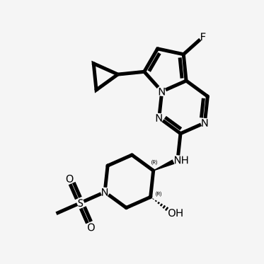 CS(=O)(=O)N1CC[C@@H](Nc2ncc3c(F)cc(C4CC4)n3n2)[C@H](O)C1